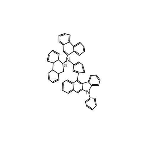 C1=CC2C[C@H](N(c3cccc(-c4c5ccccc5cc5c4c4ccccc4n5-c4ccccc4)c3)c3cc4ccccc4c4ccccc34)C3C=CC=CC3C2C=C1